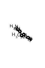 Cc1ccc2c(Nc3ccc4c(c3)OC(F)(F)O4)nccc2c1-c1ccc2nc(N)ncc2c1